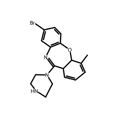 CC1=CC=CC2C(N3CCNCC3)=Nc3cc(Br)ccc3OC12